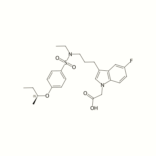 CC[C@H](C)Oc1ccc(S(=O)(=O)N(CC)CCCc2cn(CC(=O)O)c3ccc(F)cc23)cc1